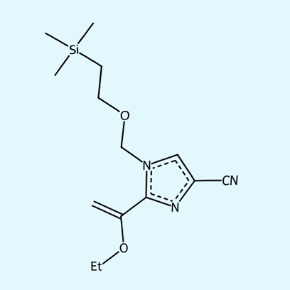 C=C(OCC)c1nc(C#N)cn1COCC[Si](C)(C)C